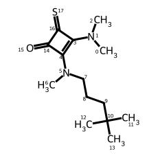 CN(C)c1c(N(C)CCCC(C)(C)C)c(=O)c1=S